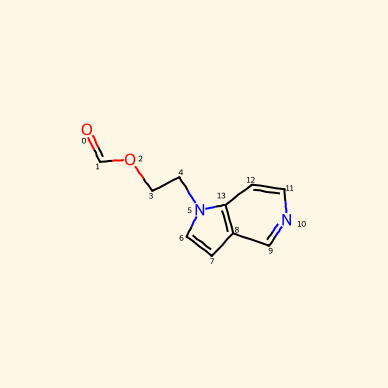 O=COCCn1ccc2cnccc21